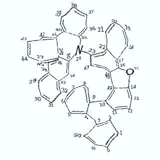 c1ccc(-c2ccccc2-c2cccc3oc4c5ccccc5c(N(c5ccc6ccccc6c5)c5ccccc5-c5ccccc5)cc4c23)cc1